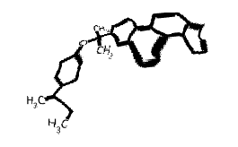 CCC(C)C1CCC(OC(C)(C)c2ccc3c(ccc4c5ccccc5ccc34)c2)CC1